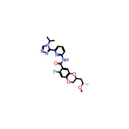 CO[C@@H](C)CC1COc2cc(F)c(C(=O)Nc3cccc(-c4nncn4C(C)C)n3)cc2O1